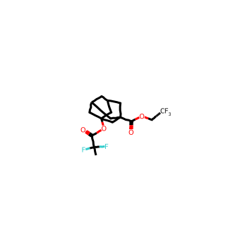 CC(F)(F)C(=O)OC12CC3CC(C1)CC(C(=O)OCC(F)(F)F)(C3)C2